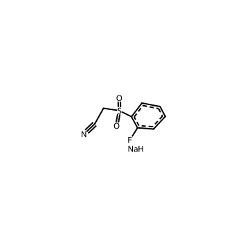 N#CCS(=O)(=O)c1ccccc1F.[NaH]